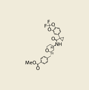 COC(=O)c1ccc(C[C@H]2C[C@H](NC(=O)C3(c4ccc5c(c4)OC(F)(F)O5)CC3)CCO2)cc1